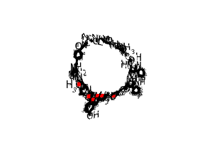 CC(=O)N[C@H]1CCCCNC(=O)c2ccc(cc2)C[C@@H](C(N)=O)NC(=O)[C@]2(C)CCCN2C(=O)[C@H](Cc2ccc(O)cc2)NC(=O)[C@@H](Cc2cnc[nH]2)NC(=O)[C@H](CC(=O)O)CC(=O)[C@H](Cc2c[nH]c3cc(F)ccc23)NC(=O)[C@H](Cc2c[nH]c3ccc(F)cc23)NC(=O)CNC(=O)[C@H](C)NC1=O